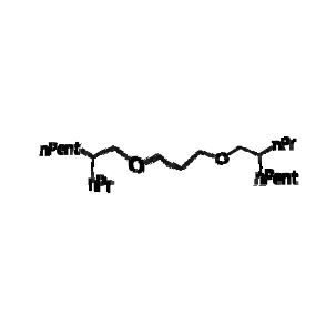 CCCCCC(CCC)COCCCOCC(CCC)CCCCC